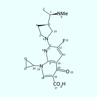 CN[C@H](C)[C@@H]1CCN(c2nc3c(cc2F)c(=O)c(C(=O)O)cn3C2CC2)C1